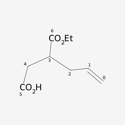 C=CCC(CC(=O)O)C(=O)OCC